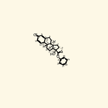 C[C@H]1C[C@H]2[C@@H]3CCC4=CC(=O)C=C[C@]4(C)[C@H]3CC[C@]2(C)[C@@]1(O)C(=S)Oc1ccccc1